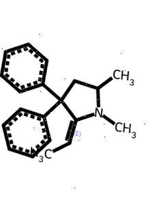 C/C=C1/N(C)C(C)CC1(c1ccccc1)c1ccccc1